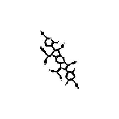 N#CC(C#N)=C1C(c2cc(F)c(C#N)cc2F)=C(C#N)c2cc3c(cc21)C(=C(C#N)C#N)C(c1ccc(C#N)nc1F)=C3C#N